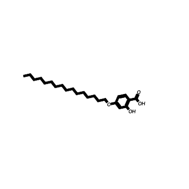 CCCCCCCCCCCCCCCCOc1ccc(C(=O)O)c(O)c1